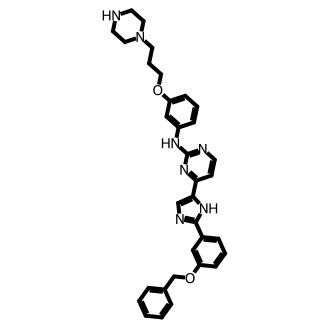 c1ccc(COc2cccc(-c3ncc(-c4ccnc(Nc5cccc(OCCCN6CCNCC6)c5)n4)[nH]3)c2)cc1